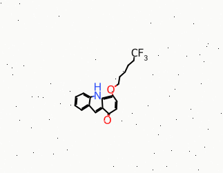 O=c1ccc(OCCCCCC(F)(F)F)c2[nH]c3ccccc3cc1-2